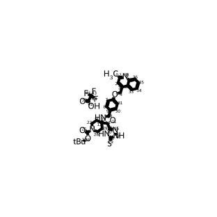 Cc1cc(COc2ccc(C(=O)NC3(Cc4n[nH]c(=S)[nH]4)CCN(C(=O)OC(C)(C)C)CC3)cc2)c2ccccc2n1.O=C(O)C(F)(F)F